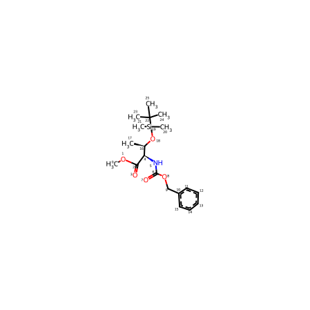 COC(=O)[C@H](NC(=O)OCc1ccccc1)[C@@H](C)O[Si](C)(C)C(C)(C)C